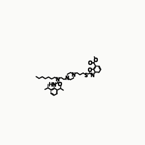 CCCCCCCN(CCN1CCN(CCCSc2nc3cccc(C(=O)OC)c3o2)CC1)C(=O)Nc1c(C(C)C)cccc1C(C)C